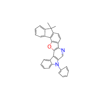 CC1(C)c2ccccc2-c2c1ccc1c2oc2c1ncc1c2c2ccccc2n1-c1ccccc1